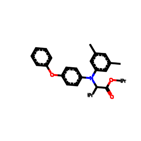 Cc1cc(C)cc(N(c2ccc(Oc3ccccc3)cc2)C(C(=O)OC(C)C)C(C)C)c1